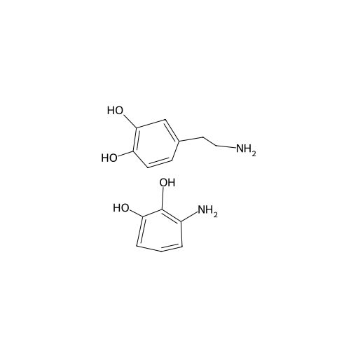 NCCc1ccc(O)c(O)c1.Nc1cccc(O)c1O